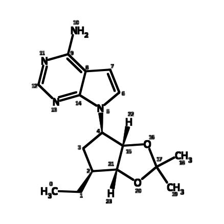 CC[C@H]1C[C@@H](n2ccc3c(N)ncnc32)[C@@H]2OC(C)(C)O[C@H]12